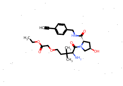 C#Cc1ccc(CNC(=O)[C@@H]2C[C@@H](O)CN2C(=O)[C@@H](N)C(C)(C)CCOCC(=O)OCC)cc1